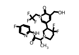 C[C@@H](C(=O)Nc1ccc(F)cn1)N1CCC(F)(F)C(c2cc(CO)c(=O)n(CC(F)(F)F)c2)C1